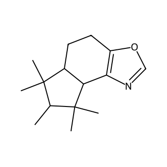 CC1C(C)(C)C2CCc3ocnc3C2C1(C)C